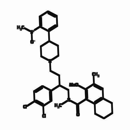 COc1c(C)cc2c(c1C(=O)N(C)CC(CCN1CCC(c3ccccc3[S+](C)[O-])CC1)c1ccc(Cl)c(Cl)c1)CCCC2